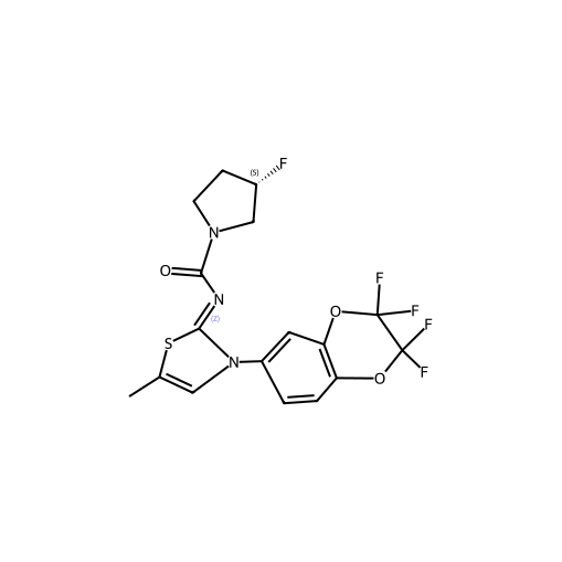 Cc1cn(-c2ccc3c(c2)OC(F)(F)C(F)(F)O3)/c(=N/C(=O)N2CC[C@H](F)C2)s1